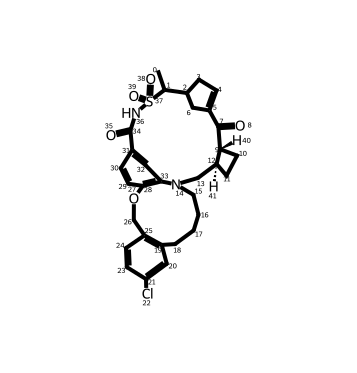 CC1C2CC=C(C2)C(=O)[C@@H]2CC[C@H]2CN2CCCCc3cc(Cl)ccc3COc3ccc(cc32)C(=O)NS1(=O)=O